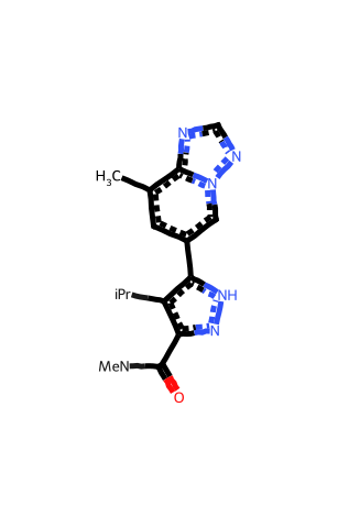 CNC(=O)c1n[nH]c(-c2cc(C)c3ncnn3c2)c1C(C)C